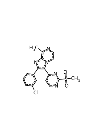 Cc1nccn2c(-c3ccnc(S(C)(=O)=O)n3)c(-c3cccc(Cl)c3)nc12